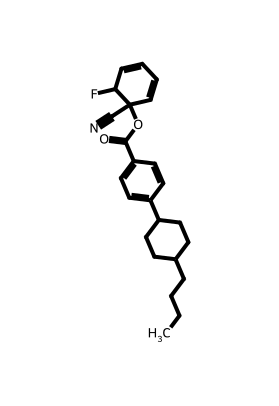 CCCCC1CCC(c2ccc(C(=O)OC3(C#N)C=CC=CC3F)cc2)CC1